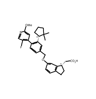 COc1cc(-c2ccc(COc3ccc4c(c3)[C@H](CC(=O)O)CC4)cc2[C@@H]2CCCC2(C)C)c(F)cn1